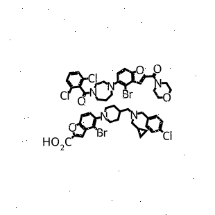 O=C(O)c1cc2c(Br)c(N3CCC(CN(Cc4ccc(Cl)cc4)CC4CC4)CC3)ccc2o1.O=C(c1cc2c(Br)c(N3CCCN(C(=O)c4c(Cl)cccc4Cl)CC3)ccc2o1)N1CCOCC1